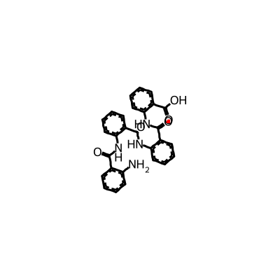 Nc1ccccc1C(=O)Nc1ccccc1C(=O)Nc1ccccc1C(=O)Nc1ccccc1C(=O)O